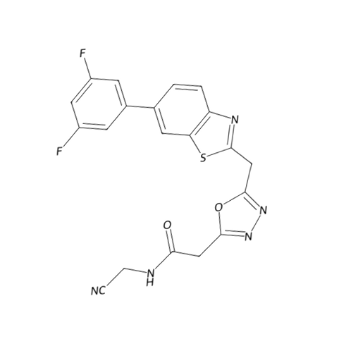 N#CCNC(=O)Cc1nnc(Cc2nc3ccc(-c4cc(F)cc(F)c4)cc3s2)o1